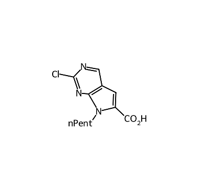 CCCCCn1c(C(=O)O)cc2cnc(Cl)nc21